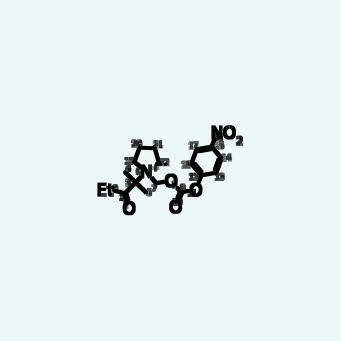 CCC(=O)C(C)(C)[N+]1(COC(=O)Oc2ccc([N+](=O)[O-])cc2)CCCC1